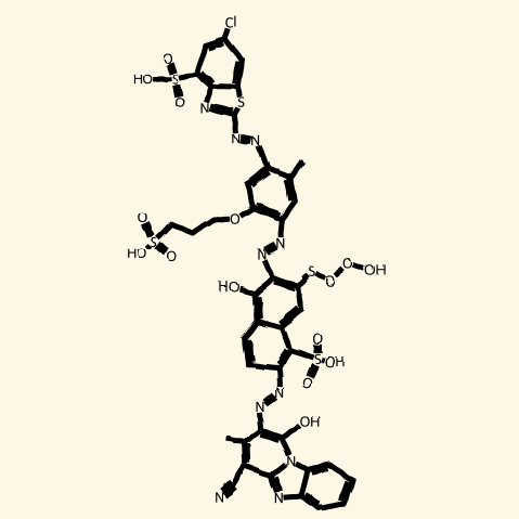 Cc1cc(N=Nc2c(SOOO)cc3c(S(=O)(=O)O)c(N=Nc4c(C)c(C#N)c5nc6ccccc6n5c4O)ccc3c2O)c(OCCCS(=O)(=O)O)cc1N=Nc1nc2c(S(=O)(=O)O)cc(Cl)cc2s1